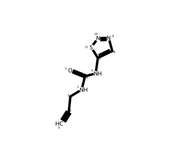 C#CCNC(=O)Nc1cnns1